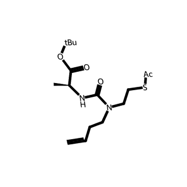 C=CCCN(CCSC(C)=O)C(=O)N[C@@H](C)C(=O)OC(C)(C)C